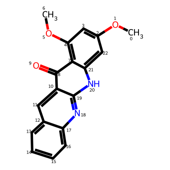 COc1cc(OC)c2c(=O)c3cc4ccccc4nc3[nH]c2c1